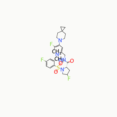 C=N/C(=C\C(=C(/C)F)N1CCC2(CC1)CC2)CNC(=O)[C@@H]1C[C@@H](F)CN1S(=O)(=O)c1ccc(F)cc1